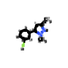 Cn1nc(C(F)(F)F)cc1-c1cc[c]c(F)c1